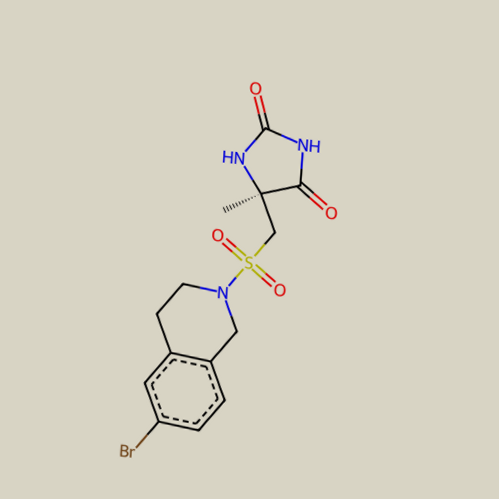 C[C@]1(CS(=O)(=O)N2CCc3cc(Br)ccc3C2)NC(=O)NC1=O